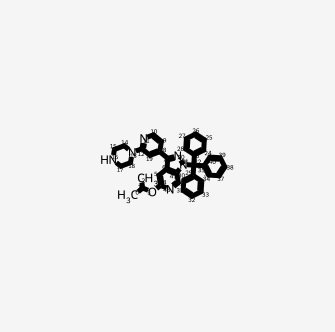 CC(C)Oc1cc2c(-c3ccnc(N4CCNCC4)c3)nn(C(c3ccccc3)(c3ccccc3)c3ccccc3)c2cn1